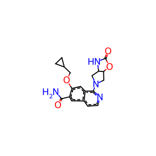 NC(=O)c1cc2ccnc(N3CC4NC(=O)OC4C3)c2cc1OCC1CC1